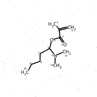 C=C(C)C(=O)OC(CCCC)N(C)C